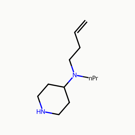 C=CCCN(CCC)C1CCNCC1